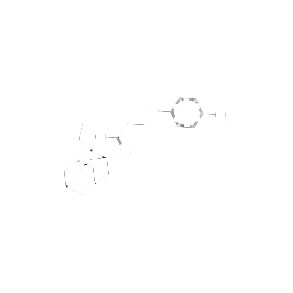 CCC1(OC(=O)CCOc2ccc(OC)cc2)C2CC3CC(C2)CC1C3